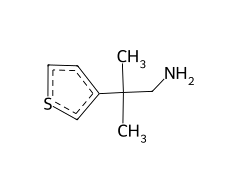 CC(C)(CN)c1ccsc1